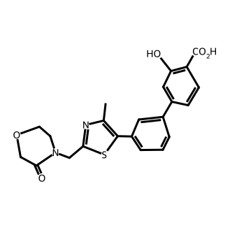 Cc1nc(CN2CCOCC2=O)sc1-c1cccc(-c2ccc(C(=O)O)c(O)c2)c1